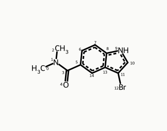 CN(C)C(=O)c1ccc2[nH]cc(Br)c2c1